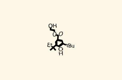 CCC(C)(C)c1cc(C(=O)OCCO)cc(C(C)(C)C)c1O